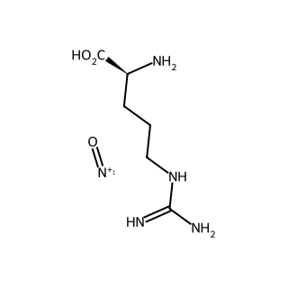 N=C(N)NCCC[C@H](N)C(=O)O.[N+]=O